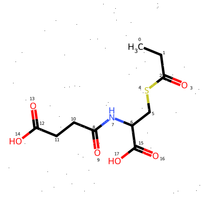 CCC(=O)SCC(NC(=O)CCC(=O)O)C(=O)O